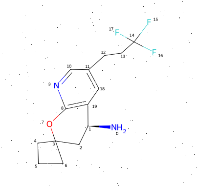 N[C@H]1CC2(CCC2)Oc2ncc(CCC(F)(F)F)cc21